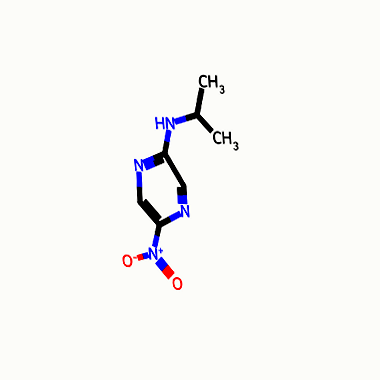 CC(C)Nc1cnc([N+](=O)[O-])cn1